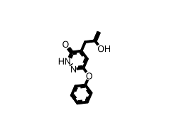 C=C(O)Cc1cc(Oc2ccccc2)n[nH]c1=O